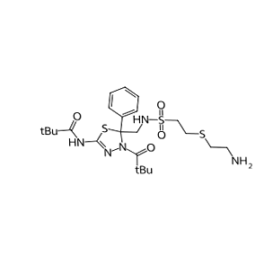 CC(C)(C)C(=O)NC1=NN(C(=O)C(C)(C)C)C(CNS(=O)(=O)CCSCCN)(c2ccccc2)S1